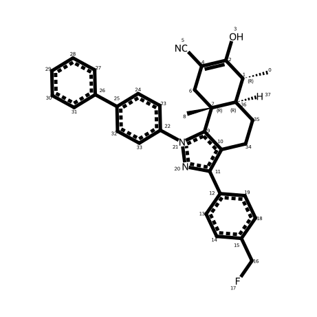 C[C@H]1C(O)=C(C#N)C[C@@]2(C)c3c(c(-c4ccc(CF)cc4)nn3-c3ccc(-c4ccccc4)cc3)CC[C@H]12